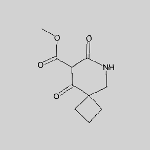 COC(=O)C1C(=O)NCC2(CCC2)C1=O